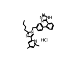 CCCCc1nc(-c2cc(C)cc(C)n2)cn1Cc1ccc(-c2ccccc2-c2nnn[nH]2)cc1.Cl